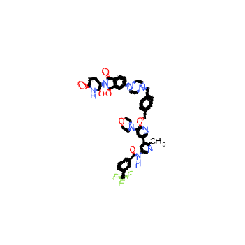 Cc1ncc(NC(=O)c2cccc(C(F)(F)F)c2)cc1-c1cnc(OCc2ccc(CN3CCN(c4ccc5c(c4)C(=O)N(C4CCC(=O)NC4=O)C5=O)CC3)cc2)c(N2CCOCC2)c1